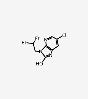 CCC(CC)Cn1c(O)nc2cc(Cl)cnc21